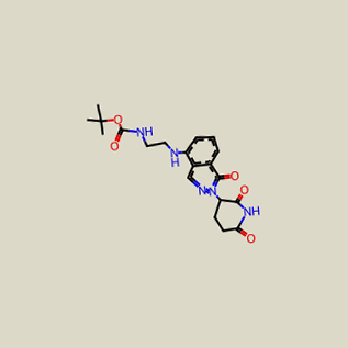 CC(C)(C)OC(=O)NCCNc1cccc2c(=O)n(C3CCC(=O)NC3=O)ncc12